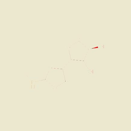 CPC1OCC(C2OC[C@@H](O)C2O)O1